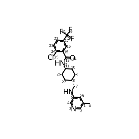 Cc1cncc(NC[C@H]2CC[C@H](NC(=O)c3cc(C(F)(F)F)ccc3Cl)CC2)c1